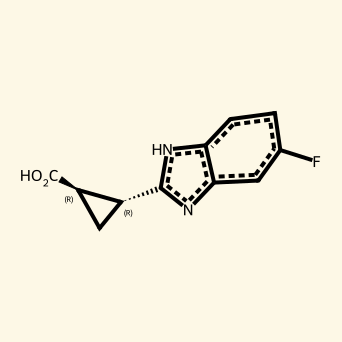 O=C(O)[C@@H]1C[C@H]1c1nc2cc(F)ccc2[nH]1